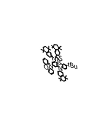 CC(C)(C)c1ccc2c(c1)B1c3sc4cc5c(cc4c3N(c3ccc4c(c3)C(C)(C)CCC4(C)C)c3cc(N4c6ccccc6Oc6ccccc64)cc(c31)N2c1ccc2c(c1)C(C)(C)CCC2(C)C)C(C)(C)CCC5(C)C